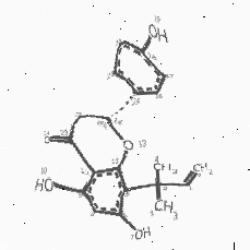 C=CC(C)(C)c1c(O)cc(O)c2c1O[C@@H](c1ccc(O)cc1)CC2=O